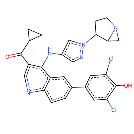 O=C(c1cnc2ccc(-c3cc(Cl)c(O)c(Cl)c3)cc2c1Nc1cnn(C2CCN3CC23)c1)C1CC1